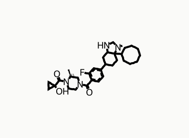 C[C@H]1CN(C(=O)c2ccc(C3CCC4(C5CCCCCCC5)C(C3)NCN4C)cc2F)CCN1C(=O)C1(O)CC1